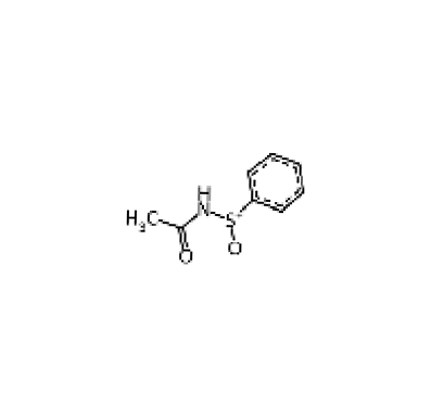 CC(=O)N[S+]([O-])c1ccccc1